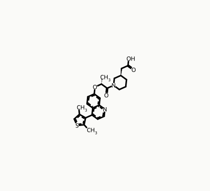 Cc1csc(C)c1-c1ccnc2cc(O[C@H](C)C(=O)N3CCC[C@H](CC(=O)O)C3)ccc12